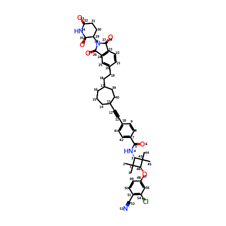 CC1(C)[C@H](NC(=O)c2ccc(C#CC3CCCC(CCc4ccc5c(c4)C(=O)N(C4CCC(=O)NC4=O)C5=O)CC3)cc2)C(C)(C)[C@H]1Oc1ccc(C#N)c(Cl)c1